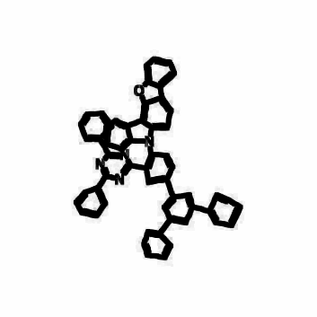 c1ccc(-c2cc(-c3ccccc3)cc(-c3ccc(-n4c5ccccc5c5c6oc7ccccc7c6ccc54)c(-c4nc(-c5ccccc5)nc(-c5ccccc5)n4)c3)c2)cc1